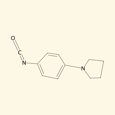 O=C=Nc1ccc(N2CCCC2)cc1